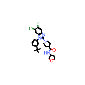 CC(C)(C)c1cccc(-n2c(N3CCC(C(=O)N[C@@H]4CCOC4)CC3)nc3cc(Cl)c(Cl)cc32)c1